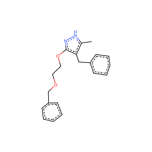 Cc1[nH]nc(OCCOCc2ccccc2)c1Cc1ccccc1